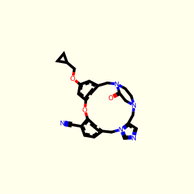 N#Cc1ccc2cc1Oc1cc(cc(OCC3CC3)c1)CN1CCN(CC1=O)Cc1cncn1C2